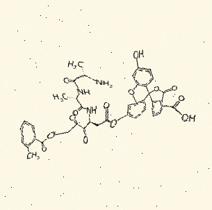 Cc1ccccc1C(=O)OCC(=O)C(=O)[C@H](CC(=O)Oc1ccc2c(c1)Oc1cc(O)ccc1C21OC(=O)c2c(C(=O)O)cccc21)NC(=O)[C@H](C)NC(=O)[C@H](C)N